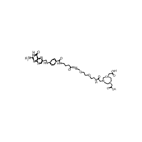 Nc1nc2ncc(CNc3ccc(C(=O)NCCCC(=O)NCCOCCOCCNC(=O)CN4CCN(CC(=O)O)CCN(CC(=O)O)CC4)cc3)nc2c(=O)[nH]1